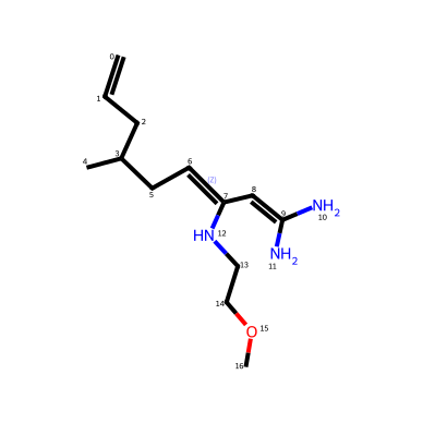 C=CCC(C)C/C=C(/C=C(N)N)NCCOC